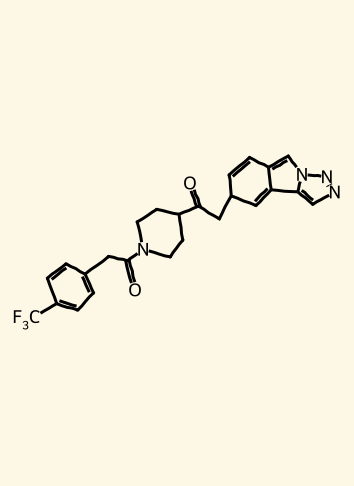 O=C(CC1C=Cc2cn3nncc3c2=C1)C1CCN(C(=O)Cc2ccc(C(F)(F)F)cc2)CC1